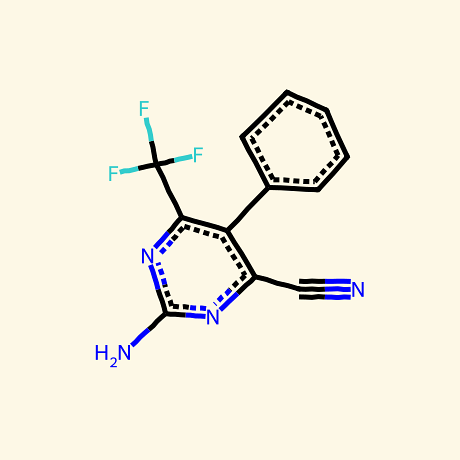 N#Cc1nc(N)nc(C(F)(F)F)c1-c1ccccc1